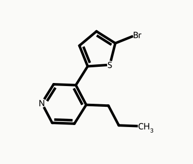 CCCc1ccncc1-c1ccc(Br)s1